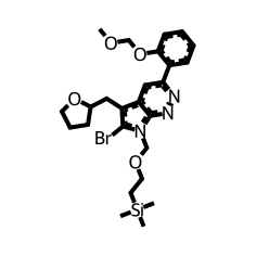 COCOc1ccccc1-c1cc2c(CC3CCCO3)c(Br)n(COCC[Si](C)(C)C)c2nn1